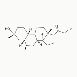 C[C@@]1(O)CC[C@@H]2C3CC[C@]4(C)C(C(=O)CBr)CC[C@H]4[C@@H]3C[C@@H](F)[C@@H]2C1